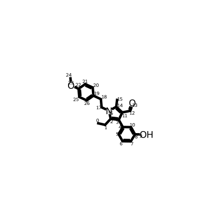 CCc1c(-c2cccc(O)c2)c(C=O)c(C)n1CCc1ccc(OC)cc1